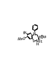 CCCCC1(CC)CN(c2ccccc2)c2cc(Br)c(OC)cc2SN1